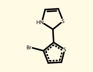 Brc1ccsc1C1NC=CS1